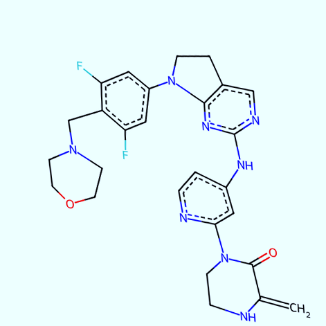 C=C1NCCN(c2cc(Nc3ncc4c(n3)N(c3cc(F)c(CN5CCOCC5)c(F)c3)CC4)ccn2)C1=O